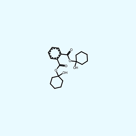 O=C(OC1(O)CCCCC1)c1ccccc1C(=O)OC1(O)CCCCC1